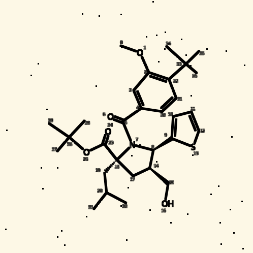 COc1cc(C(=O)N2[C@@H](c3cccs3)[C@@H](CO)C[C@@]2(CC(C)C)C(=O)OC(C)(C)C)ccc1C(C)(C)C